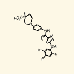 CC1(C(=O)O)CCN(c2ccc(NC(=O)c3nnc(Nc4cc(F)c(F)cc4F)o3)cn2)CC1